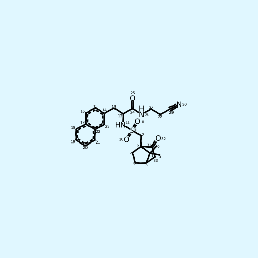 CC1(C)C2CCC1(CS(=O)(=O)NC(Cc1ccc3ccccc3c1)C(=O)NCCC#N)C(=O)C2